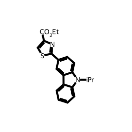 CCOC(=O)c1csc(-c2ccc3c(c2)c2ccccc2n3C(C)C)n1